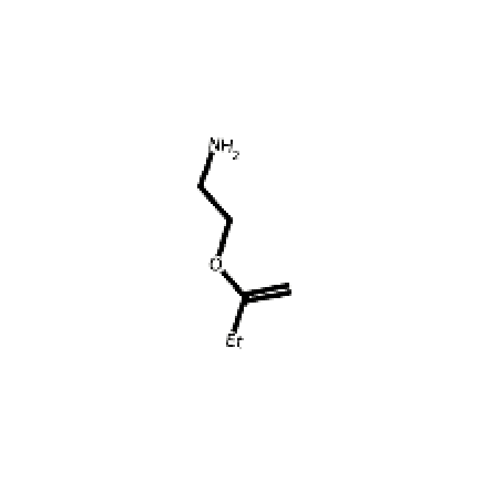 C=C(CC)OCCN